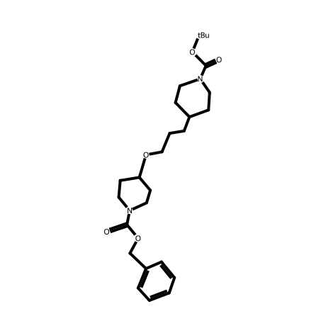 CC(C)(C)OC(=O)N1CCC(CCCOC2CCN(C(=O)OCc3ccccc3)CC2)CC1